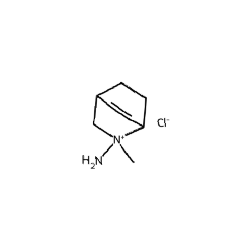 C[N+]1(N)CC2C=CC1CC2.[Cl-]